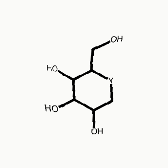 OC[CH]1[Y][CH2]C(O)C(O)C1O